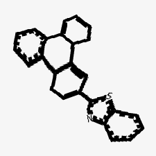 C1=CCC2C(=C1)c1ccccc1C1CC=C(c3nc4ccccc4s3)C=C21